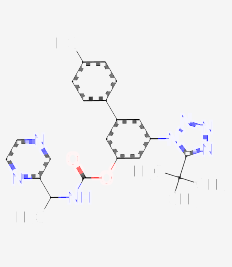 Cc1ccc(-c2cc(OC(=O)NC(C)c3cnccn3)cc(-n3nnnc3C(C)(C)C)c2)cc1